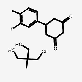 CC(CO)(CO)CO.Cc1ccc(C2CC(=O)CC(=O)C2)cc1F